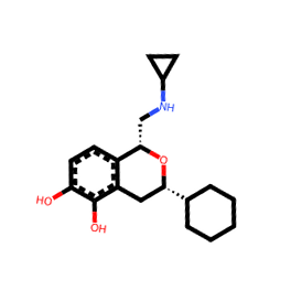 Oc1ccc2c(c1O)C[C@@H](C1CCCCC1)O[C@H]2CNC1CC1